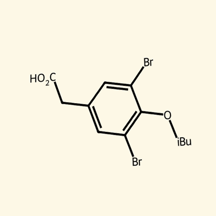 CCC(C)Oc1c(Br)cc(CC(=O)O)cc1Br